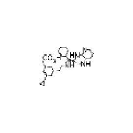 O=C(O)Cc1cc(CCN[C@H](c2ccccc2)[C@H]2CNc3cccnc3N2)cc(C2CC2)c1